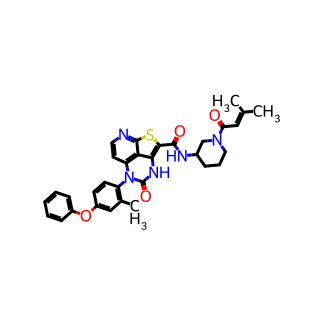 CC(C)=CC(=O)N1CCCC(NC(=O)c2sc3nccc4c3c2NC(=O)N4c2ccc(Oc3ccccc3)cc2C)C1